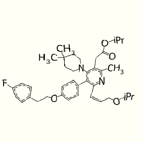 Cc1nc(/C=C\COC(C)C)c(-c2ccc(OCCc3ccc(F)cc3)cc2)c(N2CCC(C)(C)CC2)c1CC(=O)OC(C)C